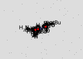 CCCC[C@H](NC(=O)/C=C(\C)c1ccc(C(F)(F)P(=O)(OCOC(=O)C(C)(C)C)OCOC(=O)C(C)(C)C)cc1)C(=O)N1C[C@H]2[C@@H](C)[C@H]2[C@H]1C(=O)N[C@@H](CCC(N)=O)[C@@H](C)OCc1ccc(C)cc1